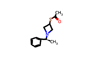 CC(=O)SC1CN([C@@H](C)c2ccccc2)C1